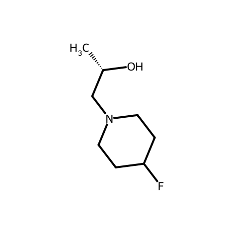 C[C@H](O)CN1CCC(F)CC1